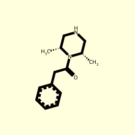 C[C@@H]1CNC[C@H](C)N1C(=O)Cc1ccccc1